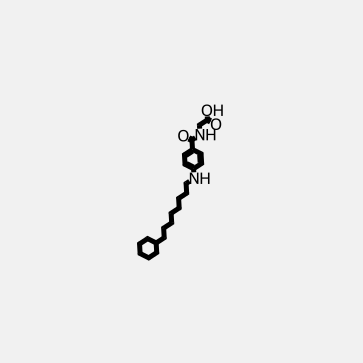 O=C(O)CNC(=O)c1ccc(NCCCCCCCCC2CCCCC2)cc1